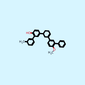 COc1ccc(C2=CCCC(c3ccc(O)c(C4=CC(C)CC=C4)c3)C2)cc1-c1ccccc1